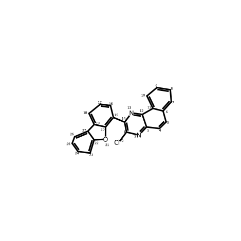 Clc1nc2ccc3ccccc3c2nc1-c1cccc2c1oc1ccccc12